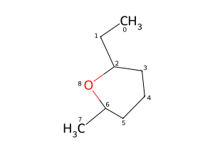 CCC1CCCC(C)O1